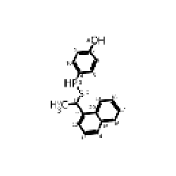 CC(SPc1ccc(O)cc1)c1cccc2ccccc12